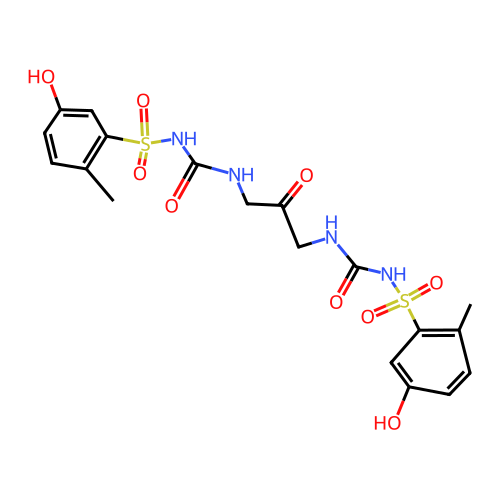 Cc1ccc(O)cc1S(=O)(=O)NC(=O)NCC(=O)CNC(=O)NS(=O)(=O)c1cc(O)ccc1C